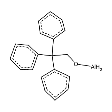 [AlH2][O]CC(c1ccccc1)(c1ccccc1)c1ccccc1